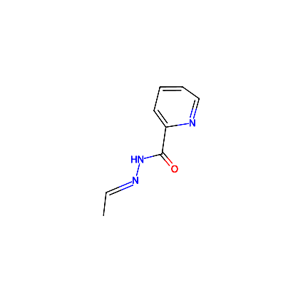 CC=NNC(=O)c1ccccn1